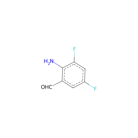 Nc1c(F)cc(F)cc1C=O